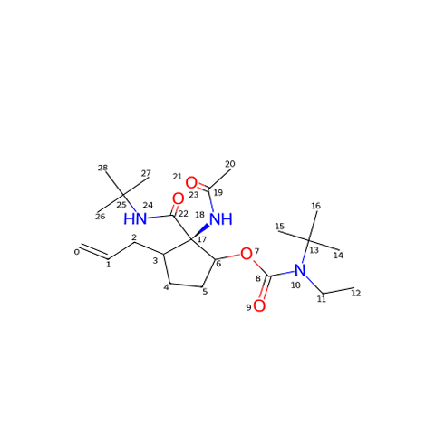 C=CCC1CCC(OC(=O)N(CC)C(C)(C)C)[C@@]1(NC(C)=O)C(=O)NC(C)(C)C